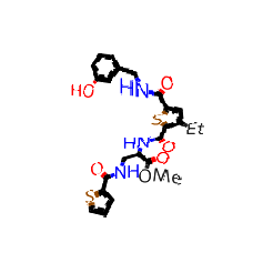 CCc1cc(C(=O)NCc2cccc(O)c2)sc1C(=O)NC(CNC(=O)c1cccs1)C(=O)OC